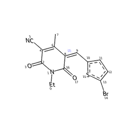 CCN1C(=O)C(C#N)=C(C)/C(=C/c2ccc(Br)s2)C1=O